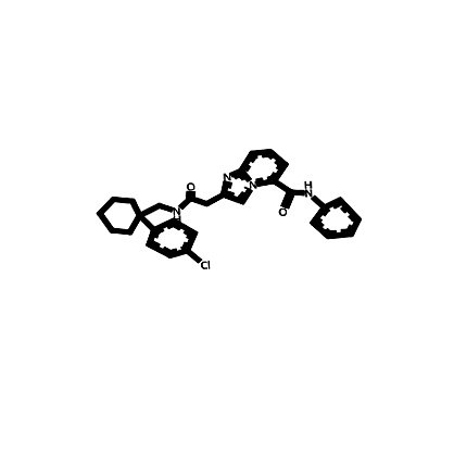 O=C(Cc1cn2c(C(=O)Nc3ccccc3)cccc2n1)NCC1(c2ccc(Cl)cc2)CCCCC1